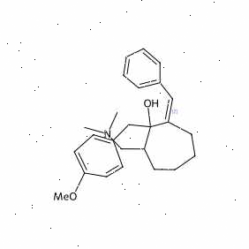 COc1ccc(CC2(O)/C(=C\c3ccccc3)CCCCC2CN(C)C)cc1